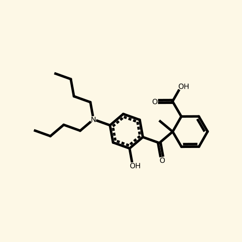 CCCCN(CCCC)c1ccc(C(=O)C2(C)C=CC=CC2C(=O)O)c(O)c1